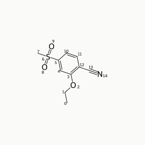 CCOc1cc(S(C)(=O)=O)ccc1C#N